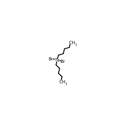 CCCCC[Te](Br)(Br)CCCCC